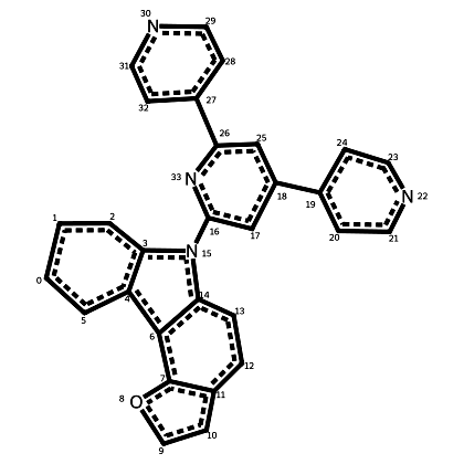 c1ccc2c(c1)c1c3occc3ccc1n2-c1cc(-c2ccncc2)cc(-c2ccncc2)n1